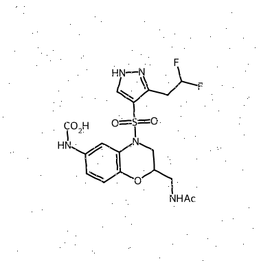 CC(=O)NCC1CN(S(=O)(=O)c2c[nH]nc2CC(F)F)c2cc(NC(=O)O)ccc2O1